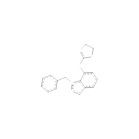 c1ccc(Cn2ncc3cccc(NC4=NCCN4)c32)cc1